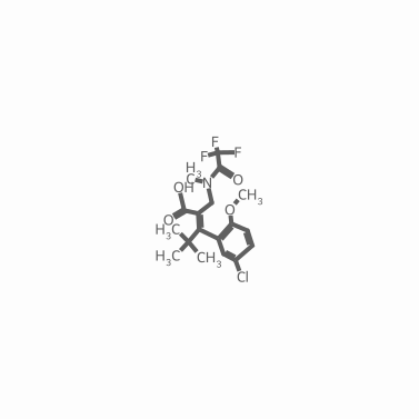 COc1ccc(Cl)cc1/C(=C(\CN(C)C(=O)C(F)(F)F)C(=O)O)C(C)(C)C